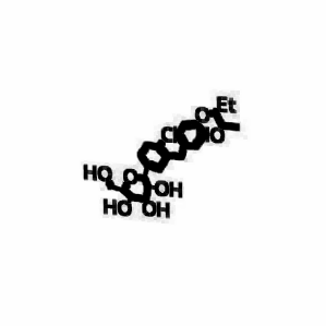 CCC(Oc1ccc(CC2=C(Cl)CCC([C@@H]3O[C@H](CO)[C@@H](O)C(O)[C@H]3O)=C2)cc1)C(C)O